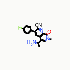 CC(N)c1cn(C)c(=O)c2nc(C#N)c(-c3ccc(F)cc3)cc12